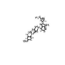 Cn1cc(-c2nc3c(-c4ccc(CN5CCc6cc(C(C)(C)C)ccc6C5)c(F)c4)ccnc3[nH]2)cn1